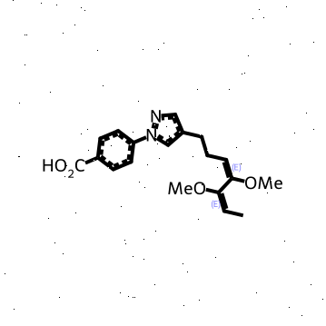 C/C=C(OC)\C(=C/CCc1cnn(-c2ccc(C(=O)O)cc2)c1)OC